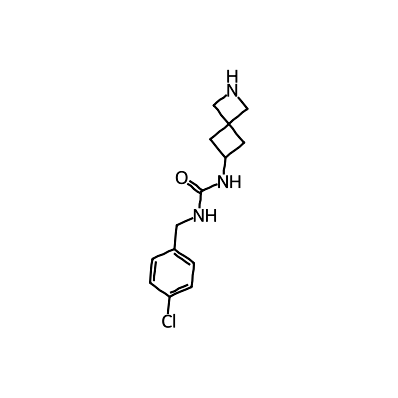 O=C(NCc1ccc(Cl)cc1)NC1CC2(CNC2)C1